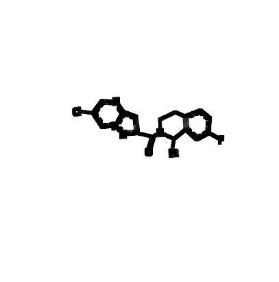 CCC1c2cc(F)ccc2CCN1C(=O)c1cc2ncc(Cl)cn2n1